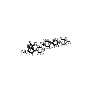 C[C@@H]1CN(c2ccc(C#N)n3ncc(F)c23)C[C@H](CN2CCN(c3ccc(N4CCN(C)CC4)nc3)CC2)O1